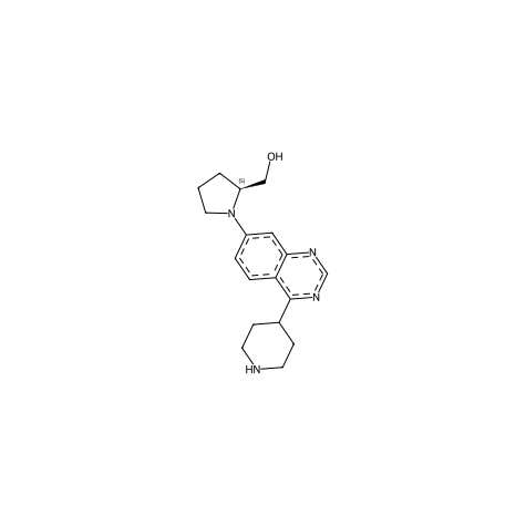 OC[C@@H]1CCCN1c1ccc2c(C3CCNCC3)ncnc2c1